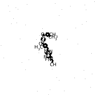 C#CCn1cc(-c2cnc3c(Cc4ccc(C(=O)N5CCN(C(=O)[C@H]6CCC(C)(C)C6)CC5)c(C)c4)nccn23)c(C(F)(F)F)n1